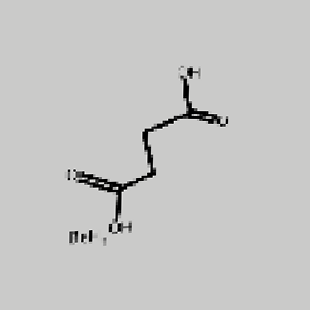 O=C(O)CCC(=O)O.[BeH2]